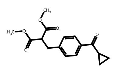 COC(=O)C(Cc1ccc(C(=O)C2CC2)cc1)C(=O)OC